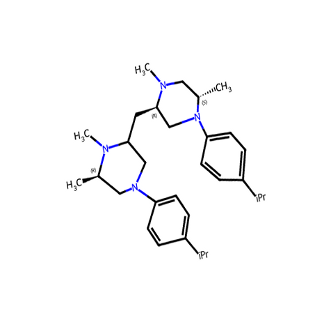 CC(C)c1ccc(N2CC(C[C@@H]3CN(c4ccc(C(C)C)cc4)[C@@H](C)CN3C)N(C)[C@H](C)C2)cc1